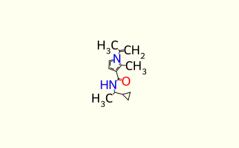 C=C(C)n1ccc(C(=O)NC(C)C2CC2)c1C